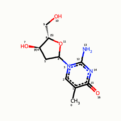 Cc1cn(C2C[C@@H](O)[C@H](CO)O2)c(N)nc1=O